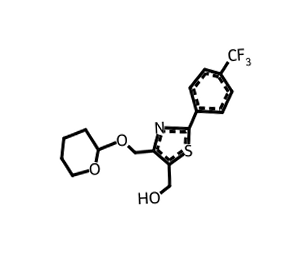 OCc1sc(-c2ccc(C(F)(F)F)cc2)nc1COC1CCCCO1